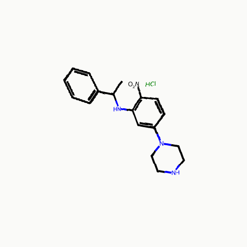 CC(Nc1cc(N2CCNCC2)ccc1[N+](=O)[O-])c1ccccc1.Cl